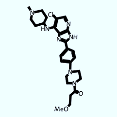 COCCC(=O)N1CCN(c2ccc(-c3nc4c(NC5CCN(C)CC5)c(Cl)cnc4[nH]3)cc2)CC1